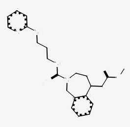 COC(=O)CC1CCN(C(=O)NCCCNc2ccccn2)Cc2ccccc21